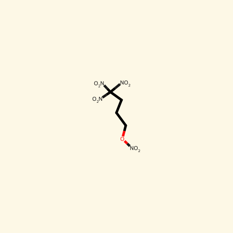 O=[N+]([O-])OCCCC([N+](=O)[O-])([N+](=O)[O-])[N+](=O)[O-]